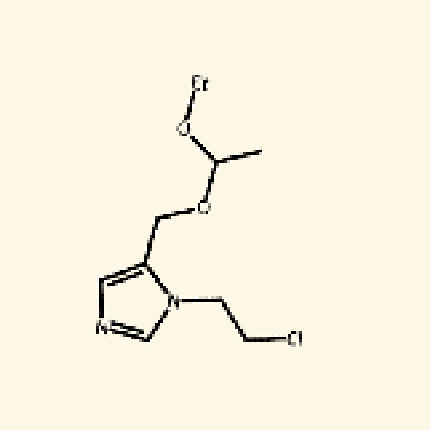 CCOC(C)OCc1cncn1CCCl